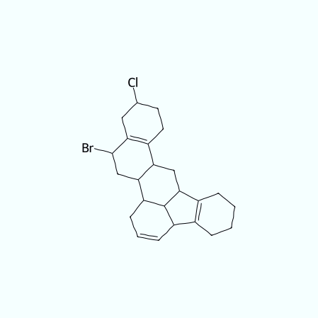 ClC1CCC2=C(C1)C(Br)CC1C2CC2C3=C(CCCC3)C3C=CCC1C32